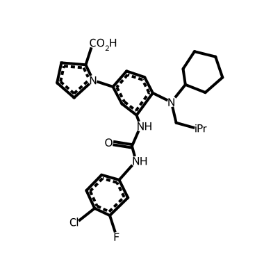 CC(C)CN(c1ccc(-n2cccc2C(=O)O)cc1NC(=O)Nc1ccc(Cl)c(F)c1)C1CCCCC1